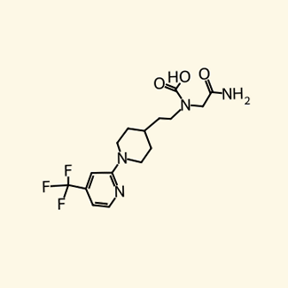 NC(=O)CN(CCC1CCN(c2cc(C(F)(F)F)ccn2)CC1)C(=O)O